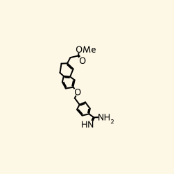 COC(=O)CC1=Cc2cc(OCc3ccc(C(=N)N)cc3)ccc2CC1